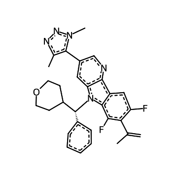 C=C(C)c1c(F)cc2c3ncc(-c4c(C)nnn4C)cc3n([C@H](c3ccccc3)C3CCOCC3)c2c1F